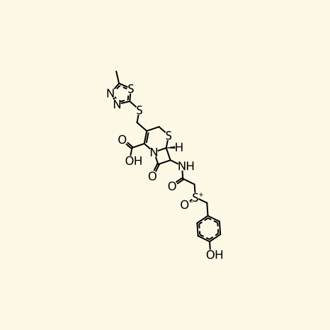 Cc1nnc(SCC2=C(C(=O)O)N3C(=O)C(NC(=O)C[S+]([O-])Cc4ccc(O)cc4)[C@H]3SC2)s1